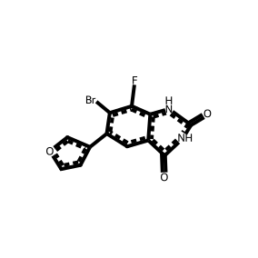 O=c1[nH]c(=O)c2cc(-c3ccoc3)c(Br)c(F)c2[nH]1